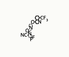 N#CC1CC(F)(F)CN1C(=O)CN1CCC(Oc2ccnc3c(C(F)(F)F)cccc23)C1